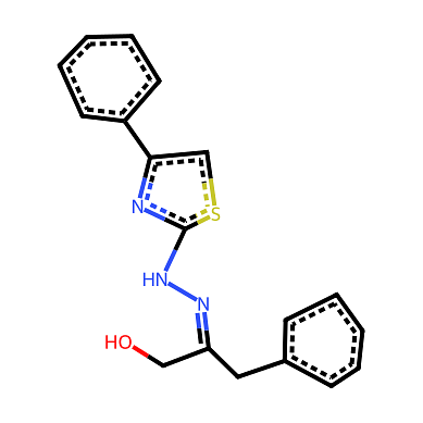 OCC(Cc1ccccc1)=NNc1nc(-c2ccccc2)cs1